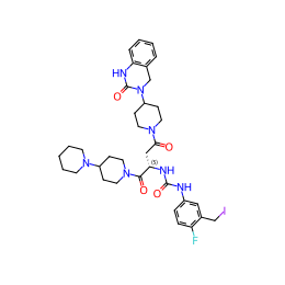 O=C(Nc1ccc(F)c(CI)c1)N[C@@H](CC(=O)N1CCC(N2Cc3ccccc3NC2=O)CC1)C(=O)N1CCC(N2CCCCC2)CC1